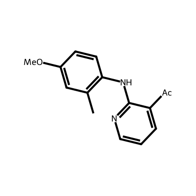 COc1ccc(Nc2ncccc2C(C)=O)c(C)c1